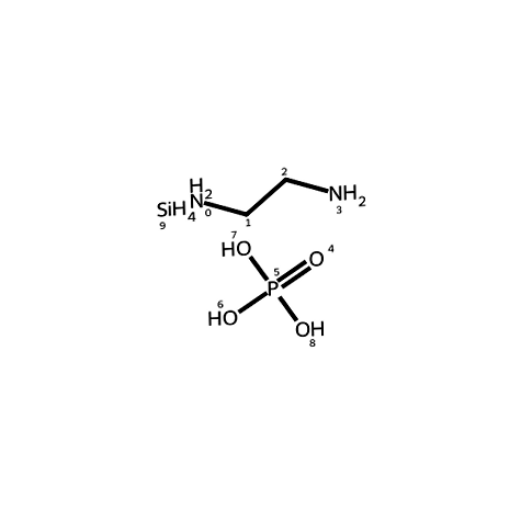 NCCN.O=P(O)(O)O.[SiH4]